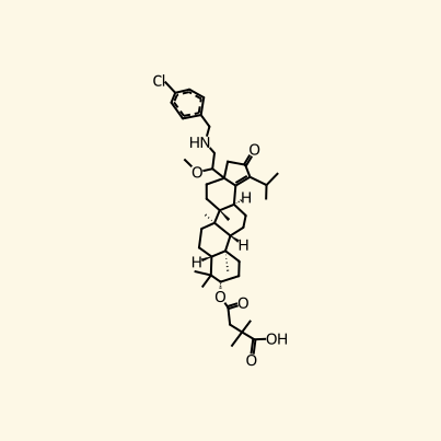 COC(CNCc1ccc(Cl)cc1)C12CC[C@]3(C)[C@H](CC[C@@H]4[C@@]5(C)CC[C@H](OC(=O)CC(C)(C)C(=O)O)C(C)(C)[C@@H]5CC[C@]43C)C1=C(C(C)C)C(=O)C2